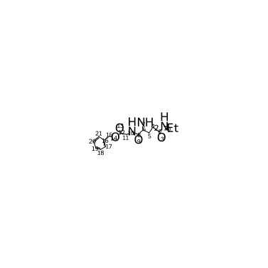 CCNC(=O)CCC(N)C(=O)NCC(=O)OCc1ccccc1